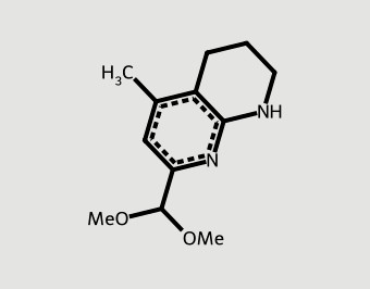 COC(OC)c1cc(C)c2c(n1)NCCC2